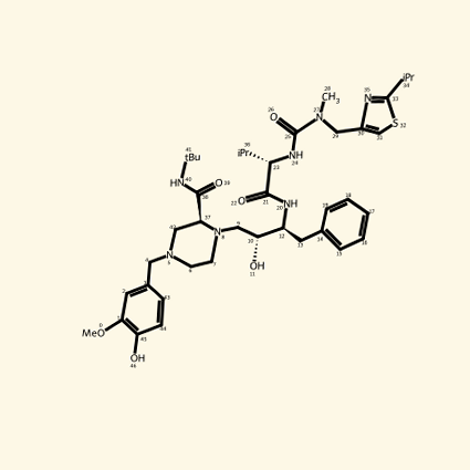 COc1cc(CN2CCN(C[C@@H](O)[C@H](Cc3ccccc3)NC(=O)[C@@H](NC(=O)N(C)Cc3csc(C(C)C)n3)C(C)C)[C@H](C(=O)NC(C)(C)C)C2)ccc1O